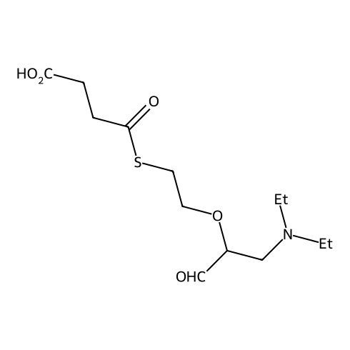 CCN(CC)CC(C=O)OCCSC(=O)CCC(=O)O